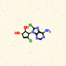 Nc1ncnc2c1nc(Cl)n2C1C(Cl)=C[C@H](O)[C@H]1O